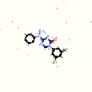 NN(c1ccccc1)c1ncn(-c2cc(Cl)cc(Cl)c2)c(=O)n1